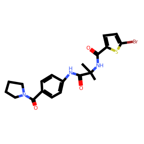 CC(C)(NC(=O)c1ccc(Br)s1)C(=O)Nc1ccc(C(=O)N2CCCC2)cc1